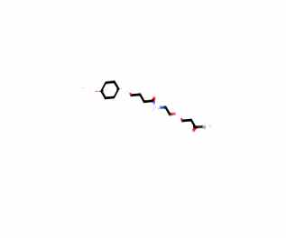 CCO[C@H]1CC[C@H](OCCCC(=O)NCCOCCC(=O)C(C)C)CC1